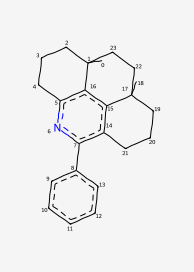 CC12CCCc3nc(-c4ccccc4)c4c(c31)C(C)(CCC4)CC2